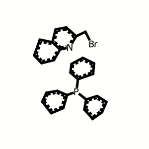 BrCc1ccc2ccccc2n1.c1ccc(P(c2ccccc2)c2ccccc2)cc1